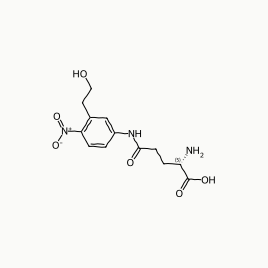 N[C@@H](CCC(=O)Nc1ccc([N+](=O)[O-])c(CCO)c1)C(=O)O